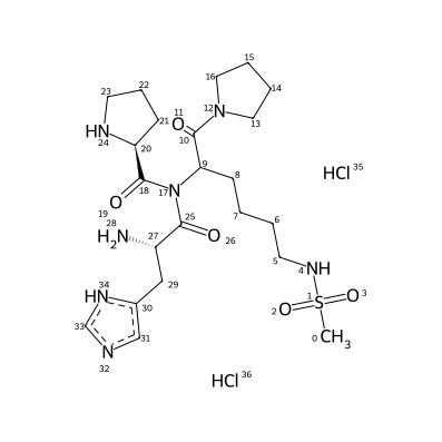 CS(=O)(=O)NCCCCC(C(=O)N1CCCC1)N(C(=O)[C@@H]1CCCN1)C(=O)[C@@H](N)Cc1cnc[nH]1.Cl.Cl